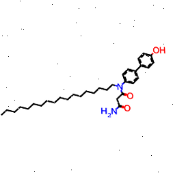 CCCCCCCCCCCCCCCCCCN(C(=O)CC(N)=O)c1ccc(-c2ccc(O)cc2)cc1